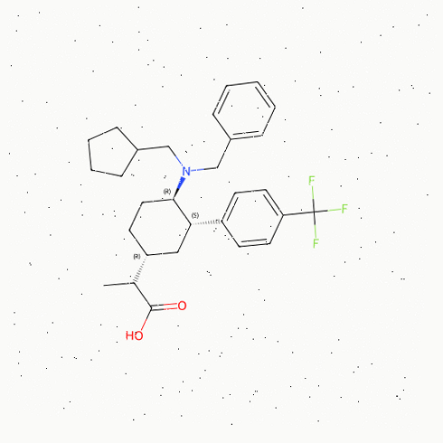 CC(C(=O)O)[C@@H]1CC[C@@H](N(Cc2ccccc2)CC2CCCC2)[C@H](c2ccc(C(F)(F)F)cc2)C1